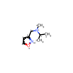 CC(C)N(C)Cc1ccon1